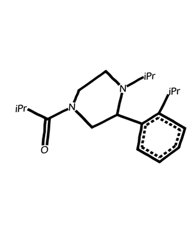 CC(C)C(=O)N1CCN(C(C)C)C(c2ccccc2C(C)C)C1